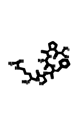 CC[C@H](C)[C@H](N)C(=O)N1CCC[C@H]1C(=O)N[C@@H](C)C(=O)N[C@@H](Cc1ccccc1)C(=O)N[C@@H](CS)C(=O)N[C@@H](CCCNC(=N)N)C(=O)O